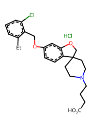 CCc1cccc(Cl)c1COc1ccc2c(c1)OCC21CCN(CCCC(=O)O)CC1.Cl